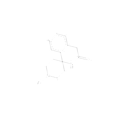 CC(C)N1CCC2(CC1)NC(=O)Cc1ccccc12